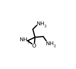 N.NCC1(CN)CO1